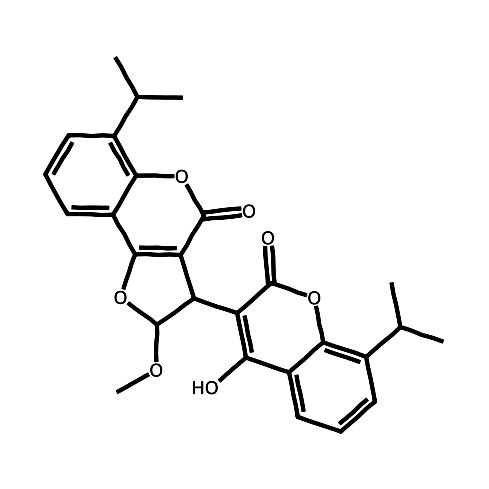 COC1Oc2c(c(=O)oc3c(C(C)C)cccc23)C1c1c(O)c2cccc(C(C)C)c2oc1=O